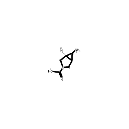 NC1C2CN(C(=O)O)C[C@@H]12